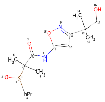 CCC[S+]([O-])C(C)(C)C(=O)Nc1cc(C(C)(C)CO)no1